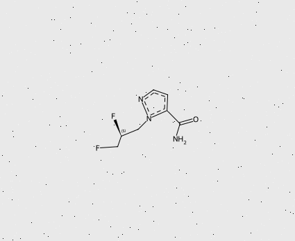 NC(=O)c1ccnn1C[C@H](F)CF